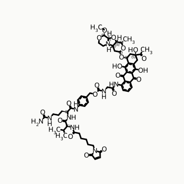 CO[C@H]1OCCN2[C@@H]1O[C@@H]1[C@H](C)O[C@@H](O[C@H]3C[C@](O)(C(C)=O)Cc4c(O)c5c(c(O)c43)C(=O)c3c(NC(=O)CNC(=O)OCc4ccc(NC(=O)[C@H](CCCNC(N)=O)NC(=O)[C@@H](NC(=O)CCCCCN6C(=O)C=CC6=O)C(C)C)cc4)cccc3C5=O)C[C@@H]12